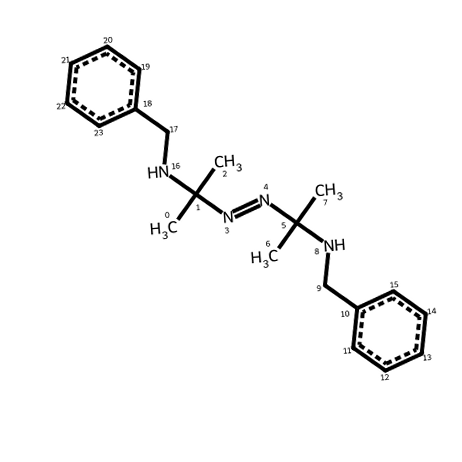 CC(C)(N=NC(C)(C)NCc1ccccc1)NCc1ccccc1